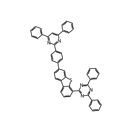 c1ccc(-c2cc(-c3ccccc3)nc(-c3ccc(-c4ccc5c(c4)sc4c(-c6nc(-c7ccccc7)nc(-c7ccccc7)n6)cccc45)cc3)n2)cc1